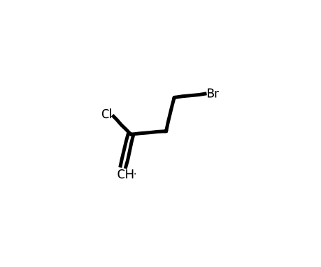 [CH]=C(Cl)CCBr